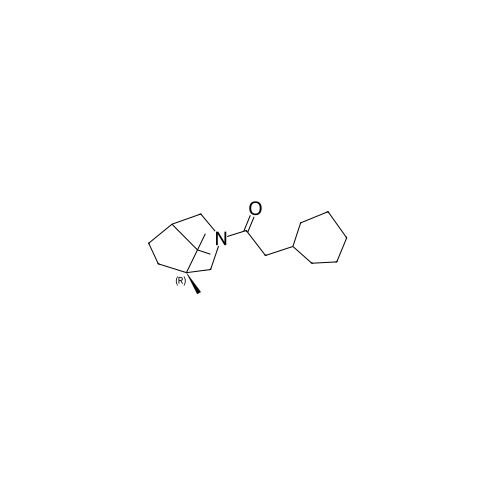 CC1(C)C2CC[C@@]1(C)CN(C(=O)CC1CCCCC1)C2